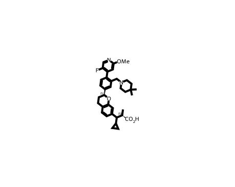 COc1cc(-c2ccc([C@@H]3CCc4ccc(C(C5CC5)[C@H](C)C(=O)O)cc4O3)cc2CN2CCC(C)(C)CC2)c(F)cn1